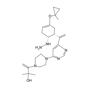 C=C(c1cc(N2CCN(C(=C)C(C)(C)O)CC2)ncn1)[C@H]1CC(OC2(C)CC2)=CC[C@H]1NN